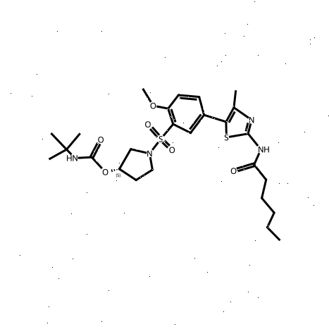 CCCCCC(=O)Nc1nc(C)c(-c2ccc(OC)c(S(=O)(=O)N3CC[C@H](OC(=O)NC(C)(C)C)C3)c2)s1